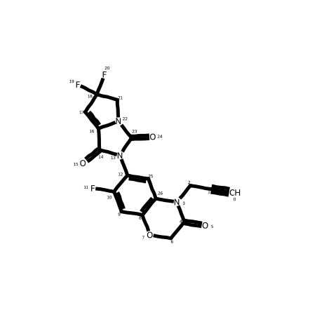 C#CCN1C(=O)COc2cc(F)c(N3C(=O)C4=CC(F)(F)CN4C3=O)cc21